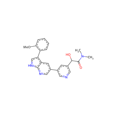 COc1ccccc1-c1c[nH]c2ncc(-c3cncc(C(O)C(=O)N(C)C)c3)cc12